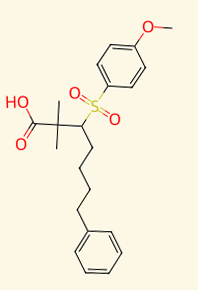 COc1ccc(S(=O)(=O)C(CCCCc2ccccc2)C(C)(C)C(=O)O)cc1